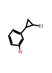 CCC1CC1c1cccc(Br)c1